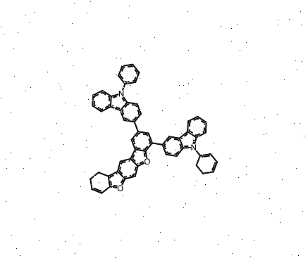 C1=CCCC(n2c3ccccc3c3cc(-c4cc(-c5ccc6c(c5)c5ccccc5n6-c5ccccc5)cc5c4oc4cc6oc7c(c6cc45)CCC=C7)ccc32)=C1